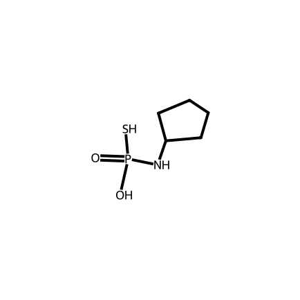 O=P(O)(S)NC1CCCC1